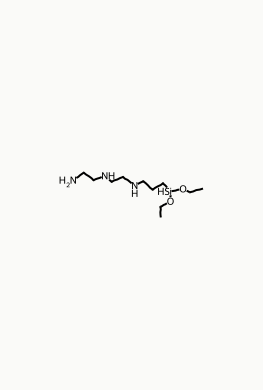 CCO[SiH](CCCNCCNCCN)OCC